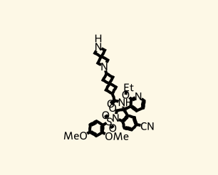 CCOc1ncccc1[C@]1(NC(=O)C2CC3(C2)CC(N2CC4(CNC4)C2)C3)C(=O)N(S(=O)(=O)c2ccc(OC)cc2OC)c2ccc(C#N)cc21